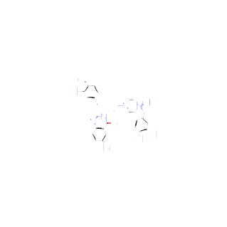 C[N+]1(Cc2ccc(Cl)c(Cl)c2)CCN(CCCn2c(SCc3ccc(Cl)c(Cl)c3)nc3ccc(Br)cc3c2=O)CC1